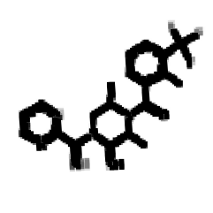 Cc1c(C(=O)N2C(C)CN(C(=N)c3ncccn3)C(=N)C2C)cccc1C(F)(F)F